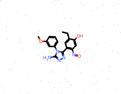 CCc1cc(-c2nnc(N)n2-c2cccc(OC)c2)c(N=O)cc1O